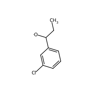 CCC([O])c1cccc(Cl)c1